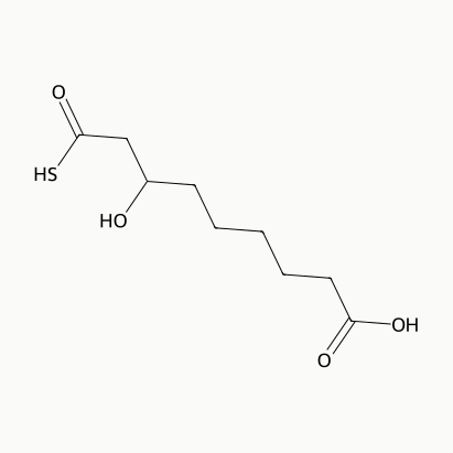 O=C(O)CCCCCC(O)CC(=O)S